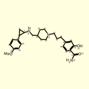 COc1ccc(C2CC2NCC2CCN(CCCc3ccc(C(N)=O)c(O)c3)CC2)cc1